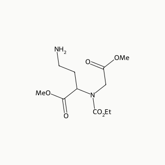 CCOC(=O)N(CC(=O)OC)C(CCN)C(=O)OC